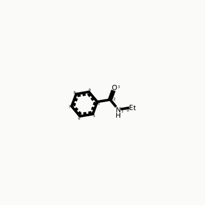 [CH]CNC(=O)c1ccccc1